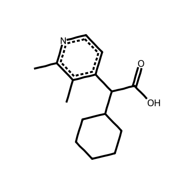 Cc1nccc(C(C(=O)O)C2CCCCC2)c1C